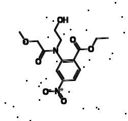 CCOC(=O)c1ccc([N+](=O)[O-])cc1N(CCO)C(=O)COC